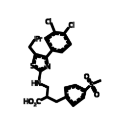 CC(C)Cc1sc(NCC(Cc2ccc(S(C)(=O)=O)cc2)C(=O)O)nc1-c1ccc(Cl)c(Cl)c1